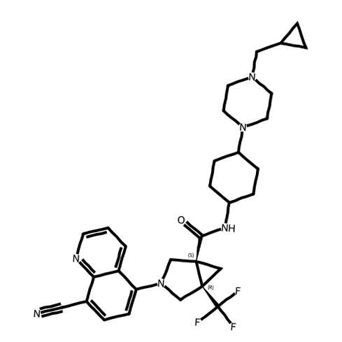 N#Cc1ccc(N2C[C@]3(C(=O)NC4CCC(N5CCN(CC6CC6)CC5)CC4)C[C@]3(C(F)(F)F)C2)c2cccnc12